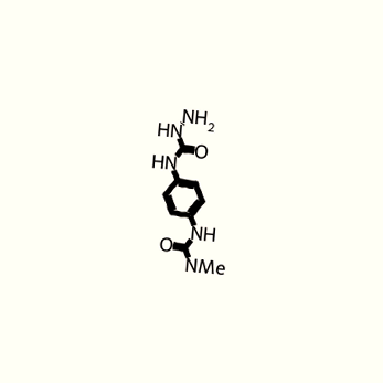 CNC(=O)Nc1ccc(NC(=O)NN)cc1